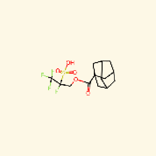 O=C(OCC(F)(C(F)(F)F)S(=O)(=O)O)C12CC3CC(CC(C3)C1)C2